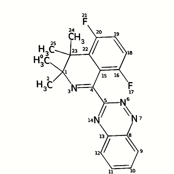 CC1(C)N=C(c2nnc3ccccc3n2)c2c(F)ccc(F)c2C1(C)C